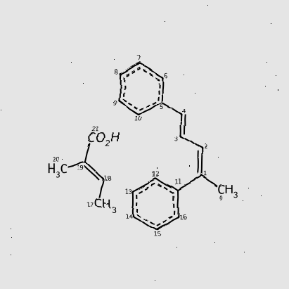 CC(=CC=Cc1ccccc1)c1ccccc1.CC=C(C)C(=O)O